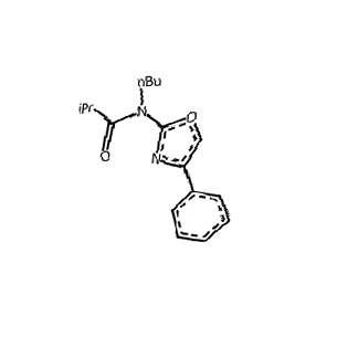 CCCCN(C(=O)C(C)C)c1nc(-c2ccccc2)co1